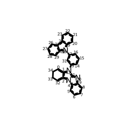 C1=c2c(n3c4ccccc4nc3n2-c2cccc(-n3c4ccccc4c4ccccc43)c2)=CCC1